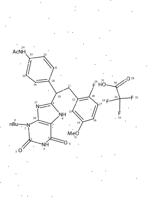 CCCCn1c(=O)[nH]c(=O)c2[nH]c(C(Cc3cc(OC)ccc3F)c3ccc(NC(C)=O)cc3)nc21.O=C(O)C(F)(F)F